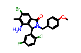 COc1ccc(CN2C(=O)c3cc(Br)c(C)c(N)c3C2c2cc(F)ccc2Cl)cc1